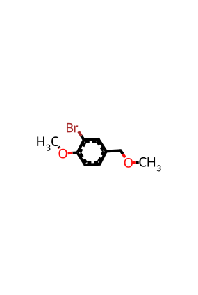 COCc1ccc(OC)c(Br)c1